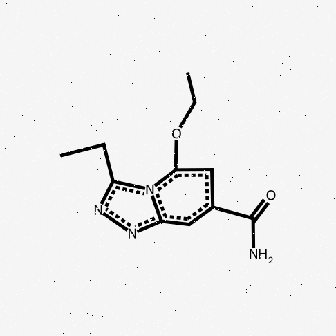 CCOc1cc(C(N)=O)cc2nnc(CC)n12